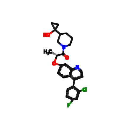 C[C@@H](Oc1ccc2c(-c3ccc(F)cc3Cl)ccnc2c1)C(=O)N1CCCC(C2(O)CC2)C1